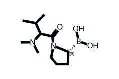 CC(C)C(C(=O)N1CCC[C@H]1B(O)O)N(C)C